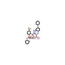 COC(=O)C(Cc1ccc(-c2ccccc2)cc1)NC(=O)c1cc(Br)ccc1OCc1ccccc1